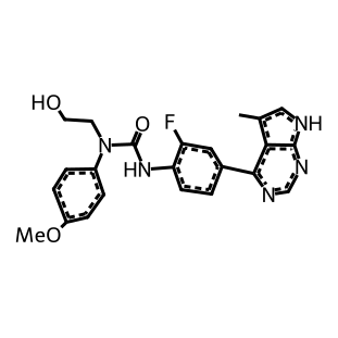 COc1ccc(N(CCO)C(=O)Nc2ccc(-c3ncnc4[nH]cc(C)c34)cc2F)cc1